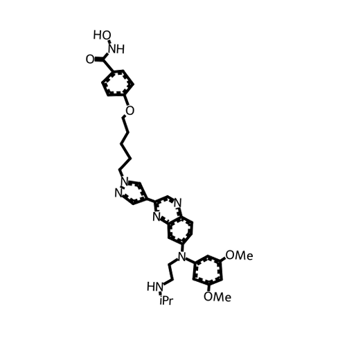 COc1cc(OC)cc(N(CCNC(C)C)c2ccc3ncc(-c4cnn(CCCCCOc5ccc(C(=O)NO)cc5)c4)nc3c2)c1